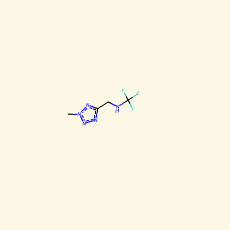 Cn1nnc(CNC(F)(F)F)n1